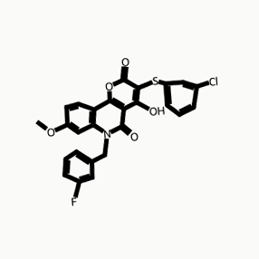 COc1ccc2c3oc(=O)c(Sc4cccc(Cl)c4)c(O)c3c(=O)n(Cc3cccc(F)c3)c2c1